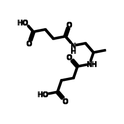 CC(CNC(=O)CCC(=O)O)NC(=O)CCC(=O)O